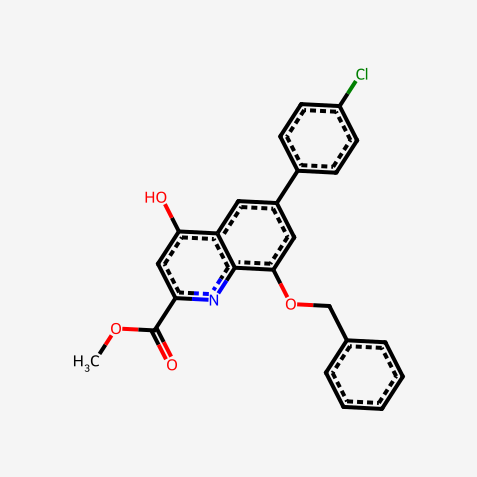 COC(=O)c1cc(O)c2cc(-c3ccc(Cl)cc3)cc(OCc3ccccc3)c2n1